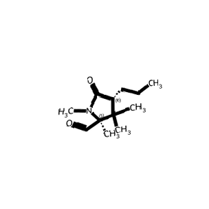 CCC[C@H]1C(=O)N(C)[C@](C)(C=O)C1(C)C